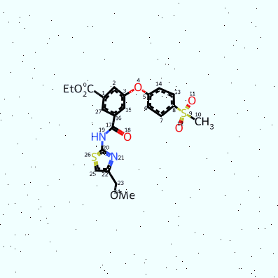 CCOC(=O)c1cc(Oc2ccc(S(C)(=O)=O)cc2)cc(C(=O)Nc2nc(COC)cs2)c1